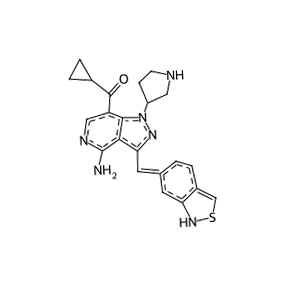 Nc1ncc(C(=O)C2CC2)c2c1c(C=c1ccc3c(c1)NSC=3)nn2C1CCNC1